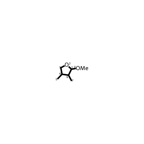 COC1OCC(C)C1C